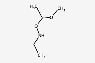 CCNOC(C)OC